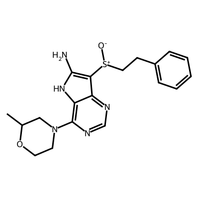 CC1CN(c2ncnc3c([S+]([O-])CCc4ccccc4)c(N)[nH]c23)CCO1